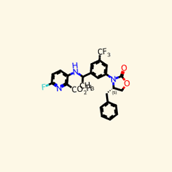 CC(Nc1ccc(F)nc1C(=O)O)c1cc(N2C(=O)OC[C@@H]2Cc2ccccc2)cc(C(F)(F)F)c1